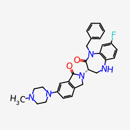 CN1CCN(c2ccc3c(c2)C(=O)N([C@H]2CNc4ccc(F)cc4N(Cc4ccccc4)C2=O)C3)CC1